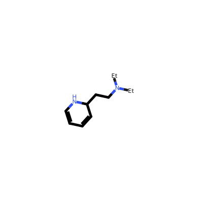 CCN(CC)CCC1C=CC=CN1